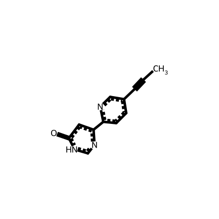 CC#Cc1ccc(-c2cc(=O)[nH]cn2)nc1